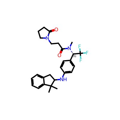 CN(C(=O)CCN1CCCC1=O)[C@@H](c1ccc(NC2Cc3ccccc3C2(C)C)cc1)C(F)(F)F